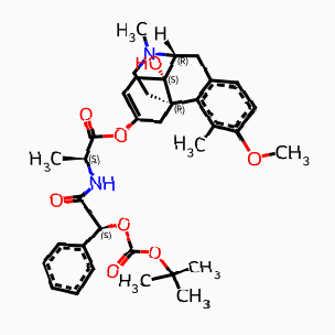 COc1ccc2c(c1C)[C@]13CCN(C)[C@H](C2)[C@]1(O)CC=C(OC(=O)[C@H](C)NC(=O)[C@@H](OC(=O)OC(C)(C)C)c1ccccc1)C3